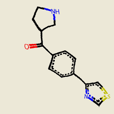 O=C(c1ccc(-c2cs[c]n2)cc1)C1CCNC1